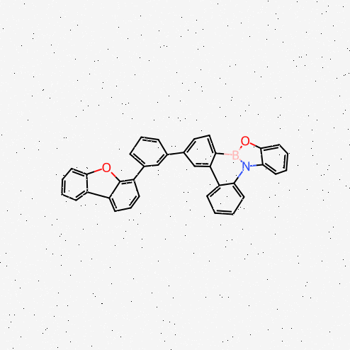 c1cc(-c2ccc3c(c2)-c2ccccc2N2B3Oc3ccccc32)cc(-c2cccc3c2oc2ccccc23)c1